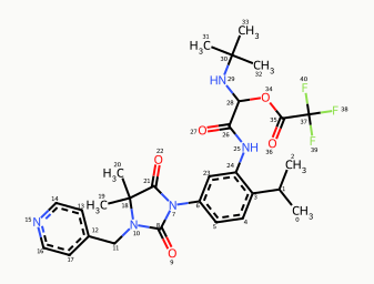 CC(C)c1ccc(N2C(=O)N(Cc3ccncc3)C(C)(C)C2=O)cc1NC(=O)C(NC(C)(C)C)OC(=O)C(F)(F)F